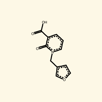 O=C(O)c1cccn(Cc2ccoc2)c1=O